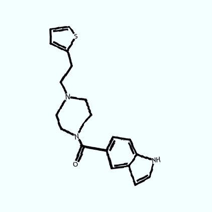 O=C(c1ccc2[nH]ccc2c1)N1CCN(CCc2cccs2)CC1